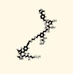 Cc1ncsc1-c1ccc(CNC(=O)[C@@H]2C[C@@H](O)CN2C(=O)[C@@H](NC(=O)CCc2cc(CCOCCOCC#Cc3ccc(C4=N[C@@H](CC(=O)NCCS(=O)(=O)O)c5nnc(C)n5-c5sc(C)c(C)c54)cc3)cc(NC(=O)OC(C)(C)C)c2)C(C)(C)C)cc1